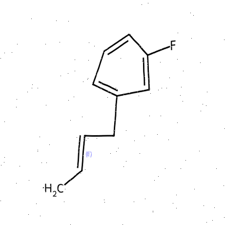 [CH2]/C=C/Cc1cccc(F)c1